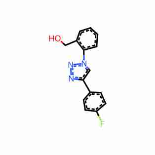 OCc1ccccc1-n1cc(-c2ccc(F)cc2)nn1